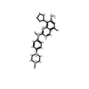 Cc1cc(N)c(C2CCCC2)c2nc(N(C)c3ccc(N4CCN(C)CC4)cc3)ncc12